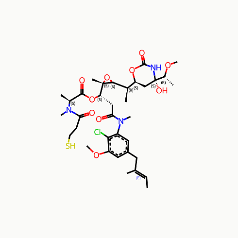 C/C=C(\C)Cc1cc(OC)c(Cl)c(N(C)C(=O)C[C@H](OC(=O)[C@H](C)N(C)C(=O)CCS)[C@]2(C)O[C@H]2[C@H](C)[C@@H]2C[C@](O)([C@@H](C)OC)NC(=O)O2)c1